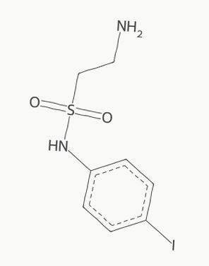 NCCS(=O)(=O)Nc1ccc(I)cc1